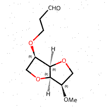 CO[C@@H]1CO[C@H]2[C@@H]1OC[C@H]2OCCC=O